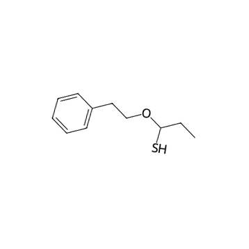 CCC(S)OCCc1ccccc1